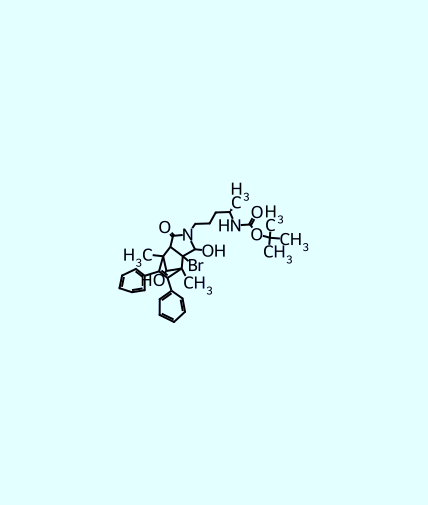 C[C@H](CCCN1C(=O)C2C3(C)C(c4ccccc4)=C(c4ccccc4)C(C)(C3O)C2(Br)C1O)NC(=O)OC(C)(C)C